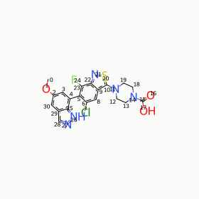 COc1cc(-c2c(Cl)cc3c(N4CCN(C(=O)O)CC4)snc3c2F)c2[nH]ncc2c1